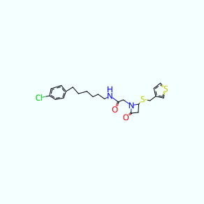 O=C(CN1C(=O)CC1SCc1ccsc1)NCCCCCCc1ccc(Cl)cc1